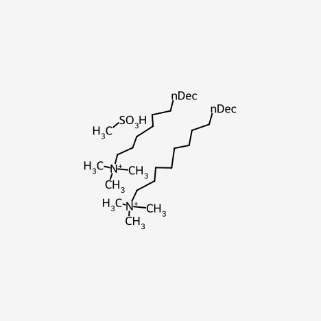 CCCCCCCCCCCCCCCCCC[N+](C)(C)C.CCCCCCCCCCCCCCCC[N+](C)(C)C.CS(=O)(=O)O